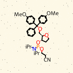 COc1ccc(C(OC[C@H]2OCC[C@@H]2OP(OCCC#N)N(C(C)C)C(C)C)(c2ccccc2)c2ccc(OC)cc2)cc1